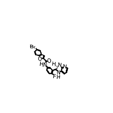 Nc1ncccc1NCc1cc(NC(=O)c2cc3cc(Br)ccc3o2)ccc1F